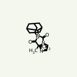 C=C(C)C(=O)OC12CC3CC(C1)C(OC(=O)n1ccnc1)C(C3)C2